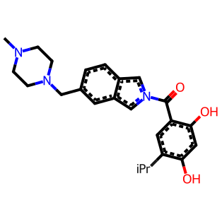 CC(C)c1cc(C(=O)n2cc3ccc(CN4CCN(C)CC4)cc3c2)c(O)cc1O